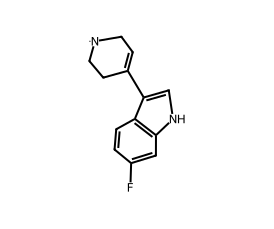 Fc1ccc2c(C3=CC[N]CC3)c[nH]c2c1